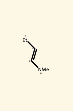 [CH2]NC=CCC